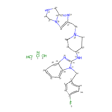 Cl.Cl.Cl.Fc1ccc(Cn2c(NC3CCN(Cc4cn5c(n4)CNCC5)CC3)nc3ccccc32)cc1